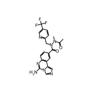 CC(=O)N(C)N(Cc1ccc(C(F)(F)F)cn1)C(=O)c1ccc2nc(N)n3cncc3c2c1